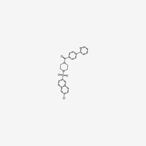 O=C(c1ccc(-c2ccccn2)cc1)N1CCN(S(=O)(=O)c2ccc3cc(Cl)ccc3c2)CC1